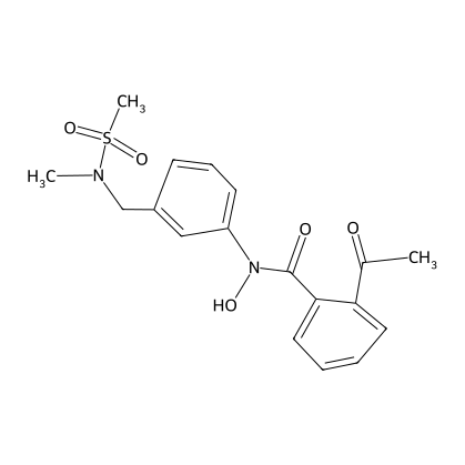 CC(=O)c1ccccc1C(=O)N(O)c1cccc(CN(C)S(C)(=O)=O)c1